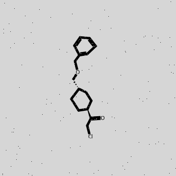 O=C(CCl)[C@H]1CC[C@H](COCc2ccccc2)CC1